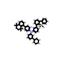 CC1(C)CCC(C)(C)c2c(-c3ccc(N(c4cccc(-c5cccc6c5[Si](C)(C)c5ccccc5-6)c4)c4cccc(C5CCCCC5)c4)cc3)cccc21